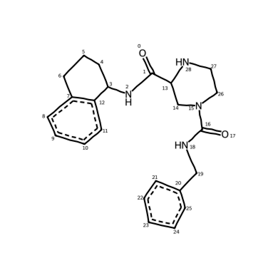 O=C(NC1CCCc2ccccc21)C1CN(C(=O)NCc2ccccc2)CCN1